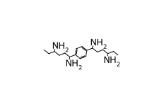 CCC(N)CCC(N)c1ccc(C(N)CCC(N)CC)cc1